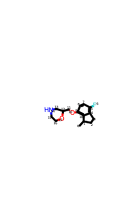 CC1CCc2c(F)ccc(OCC3CNCCO3)c21